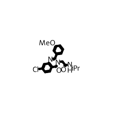 COc1cccc(-c2nc3cc(Cl)ccc3c(=O)n2CC(=O)NC(C)C)c1